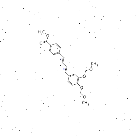 COCOc1ccc(/C=C/C=C/c2ccc(C(=O)OC)cc2)cc1OCOC